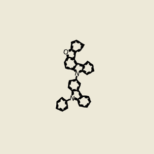 c1ccc(-n2c3ccccc3c3cc(-n4c5ccccc5c5c6c(ccc54)oc4ccccc46)ccc32)cc1